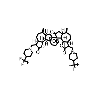 C=C1CC[C@H]2C(CN3CCC(C(F)(F)F)CC3)C(=O)O[C@@H]2[C@@H]2[C@H]1C[C@@]1(O)[C@]2(O)CCC[C@]12C(=O)C[C@H]1C(=C)CC[C@H]3C(CN4CCC(C(F)(F)F)CC4)C(=O)O[C@@H]3[C@H]12